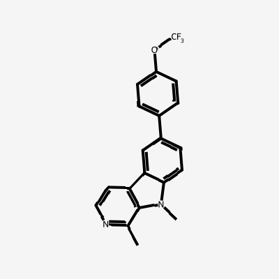 Cc1nccc2c3cc(-c4ccc(OC(F)(F)F)cc4)ccc3n(C)c12